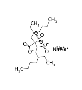 CCCCC(CC)CC(C(=O)[O-])C(CC(CC)CCCC)(C(=O)[O-])S(=O)(=O)[O-].[Na+].[Na+].[Na+]